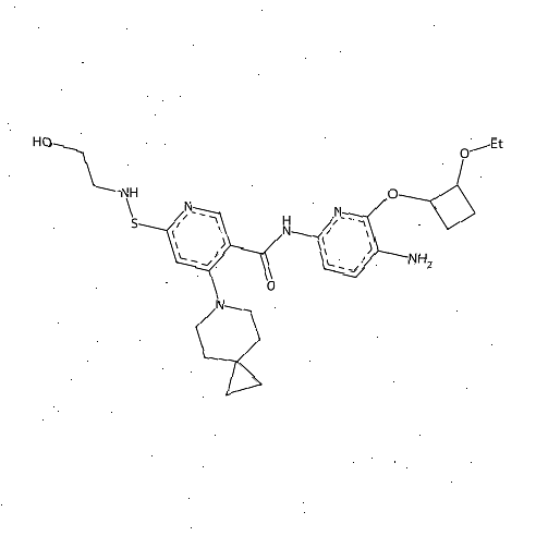 CCOC1CCC1Oc1nc(NC(=O)c2cnc(SNCCO)cc2N2CCC3(CC2)CC3)ccc1N